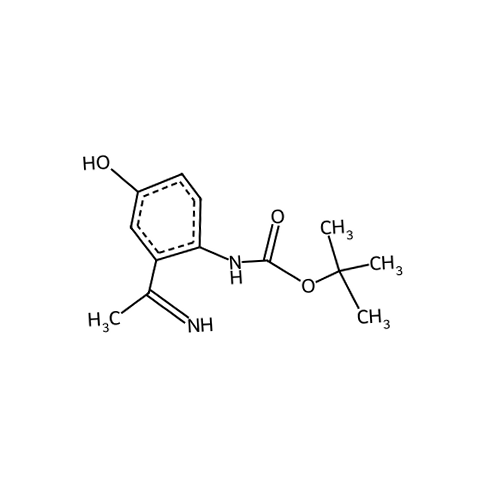 CC(=N)c1cc(O)ccc1NC(=O)OC(C)(C)C